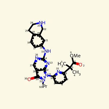 COC(=O)C(C)(C)c1cccc(-n2c3nc(Nc4ccc5c(c4)CNCC5)ncc3c(=O)n2C(C)C)n1